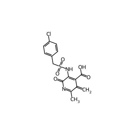 C=C1C(C)=NC(=O)C(NS(=O)(=O)Cc2ccc(Cl)cc2)=C1C(=O)O